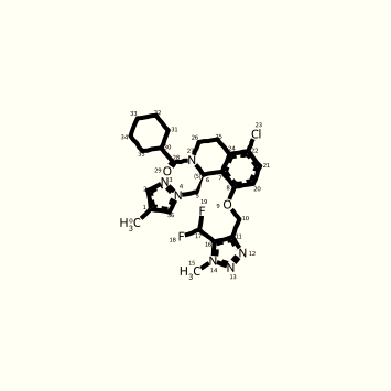 Cc1cnn(C[C@@H]2c3c(OCc4nnn(C)c4C(F)F)ccc(Cl)c3CCN2C(=O)C2CCCCC2)c1